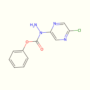 NN(C(=O)Oc1ccccc1)c1cnc(Cl)cn1